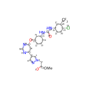 COC(=O)Cn1cc(-c2cc(Oc3cccc(NC(=O)Nc4ccc(Cl)c(C(F)(F)F)c4)c3)ncn2)cn1